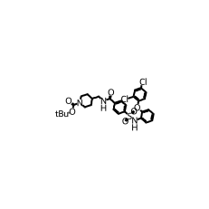 CC(C)(C)OC(=O)N1CCC(CNC(=O)c2ccc(S(=O)(=O)Nc3ccccc3Oc3ccc(Cl)cc3Cl)cc2)CC1